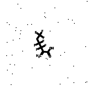 C=C(C(=O)O)C(F)(F)C(F)(F)CC(F)(F)F